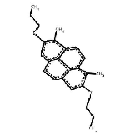 CCCSc1cc2ccc3cc(SCCC)c(C)c4ccc(c1C)c2c34